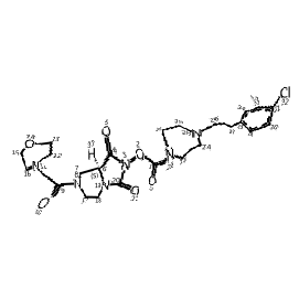 O=C(ON1C(=O)[C@@H]2CN(C(=O)N3CCOCC3)CCN2C1=O)N1CCN(CCc2ccc(Cl)cc2)CC1